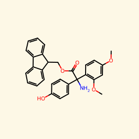 COc1ccc(C(N)(C(=O)OCC2c3ccccc3-c3ccccc32)c2ccc(O)cc2)c(OC)c1